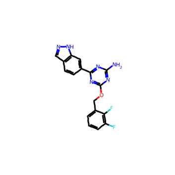 Nc1nc(OCc2cccc(F)c2F)nc(-c2ccc3cn[nH]c3c2)n1